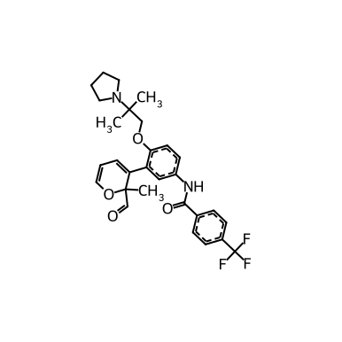 CC1(C=O)OC=CC=C1c1cc(NC(=O)c2ccc(C(F)(F)F)cc2)ccc1OCC(C)(C)N1CCCC1